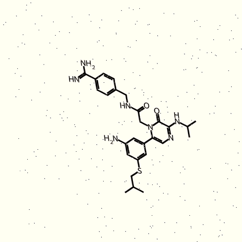 CC(C)CSc1cc(N)cc(-c2cnc(NC(C)C)c(=O)n2CC(=O)NCc2ccc(C(=N)N)cc2)c1